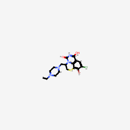 CCN1CCN(CC2CSc3c(Br)c(Cl)cc4c(O)nc(=O)n2c34)CC1